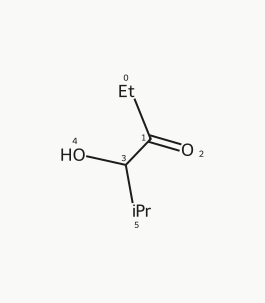 CCC(=O)C(O)C(C)C